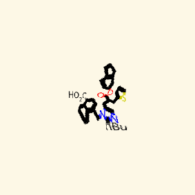 CCCCc1ncc(/C=C(\Cc2cccs2)C(=O)Oc2ccc3c(c2)CCC3)n1Cc1ccc(C(=O)O)c2ccccc12